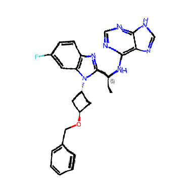 C[C@H](Nc1ncnc2[nH]cnc12)c1nc2ccc(F)cc2n1[C@H]1C[C@H](OCc2ccccc2)C1